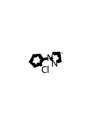 Clc1ccccc1-n1c[c]cn1